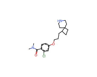 CN(C)C(=O)c1ccc(OCCCC2CCC23CCNCC3)cc1Cl